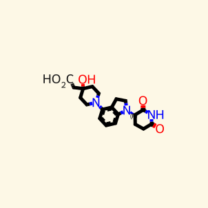 O=C(O)CC1(O)CCN(c2cccc3c2CCN3[C@@H]2CCC(=O)NC2=O)CC1